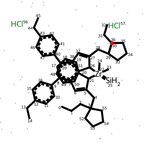 CCCC1(CC2=Cc3c(-c4ccc(CC)cc4)cccc3[CH]2[Zr]([CH3])([CH3])(=[SiH2])[CH]2C(CC3(CCC)CCCC3)=Cc3c(-c4ccc(CC)cc4)cccc32)CCCC1.Cl.Cl